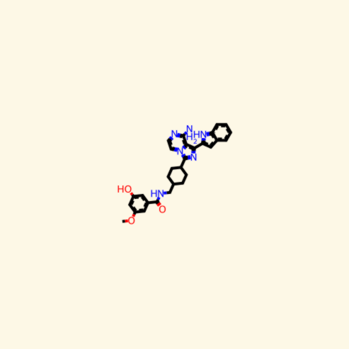 COc1cc(O)cc(C(=O)NCC2CCC(c3nc(-c4cc5ccccc5[nH]4)c4c(N)nccn34)CC2)c1